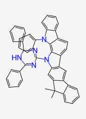 CC1(C)c2ccccc2-c2cc3c4ccc5c6ccccc6n(-c6ccccc6)c5c4n(C4=NC(c5ccccc5)NC(c5ccccc5)=N4)c3cc21